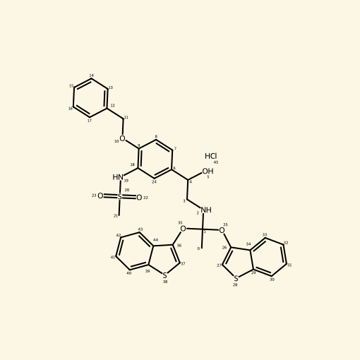 CC(NCC(O)c1ccc(OCc2ccccc2)c(NS(C)(=O)=O)c1)(Oc1csc2ccccc12)Oc1csc2ccccc12.Cl